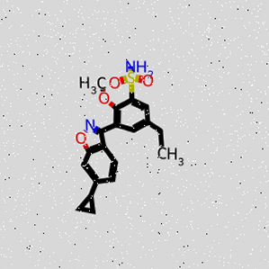 CCc1cc(-c2noc3cc(C4CC4)ccc23)c(OC)c(S(N)(=O)=O)c1